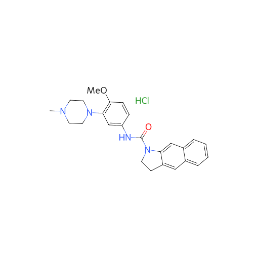 COc1ccc(NC(=O)N2CCc3cc4ccccc4cc32)cc1N1CCN(C)CC1.Cl